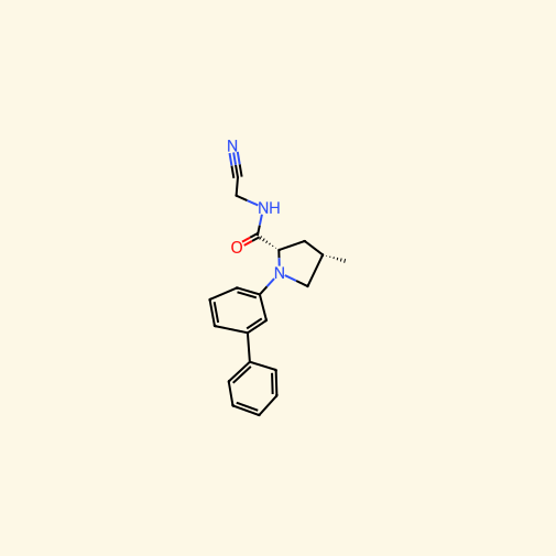 C[C@H]1C[C@@H](C(=O)NCC#N)N(c2cccc(-c3ccccc3)c2)C1